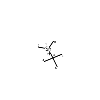 [CH3][SnH]([CH3])[C](C)(C)C